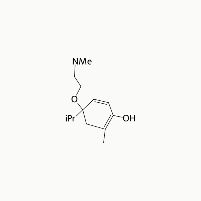 CNCCOC1(C(C)C)C=CC(O)=C(C)C1